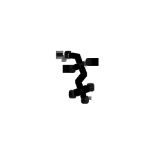 CC[N+](O)(O)CCS(=O)(=O)[O-]